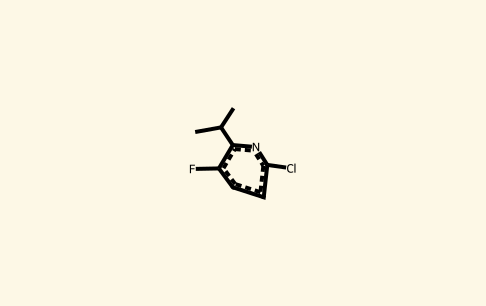 CC(C)c1nc(Cl)ccc1F